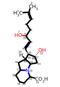 CC(C)=CCC[C@H](O)/C=C/[C@H]1[C@H](O)CC2[C@@H]1CC1CCCC(C(=O)O)N12